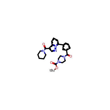 CC(C)(C)OC(=O)N1CCN(C(=O)c2cccc(-c3cccc4c(C(=O)N5CCCCC5)cnn34)c2)CC1